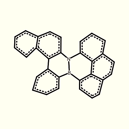 c1ccc2c(c1)B1c3cccc4ccc5cccc(c5c34)N1c1ccc3ccccc3c1-2